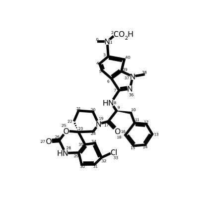 CN(C(=O)O)c1ccc2c(N[C@@H](Cc3ccccc3)C(=O)N3CCC[C@@]4(C3)OC(=O)Nc3ccc(Cl)cc34)nn(C)c2c1